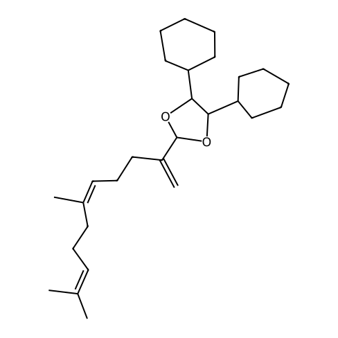 C=C(CCC=C(C)CCC=C(C)C)C1OC(C2CCCCC2)C(C2CCCCC2)O1